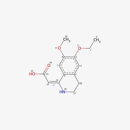 CCOc1cc2c(cc1OC)/C(=C\C(=O)O)NCC2